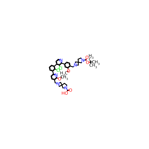 COc1cc(-c2nccc(-c3cccc(-c4ccc(CN5CC6(CCN(C(=O)O)C6)C5)c(OC)n4)c3Cl)c2Cl)ccc1CN1CC2(CCN(C(=O)OC(C)(C)C)C2)C1